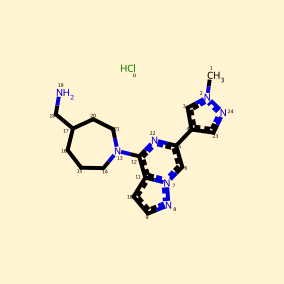 Cl.Cn1cc(-c2cn3nccc3c(N3CCCC(CN)CC3)n2)cn1